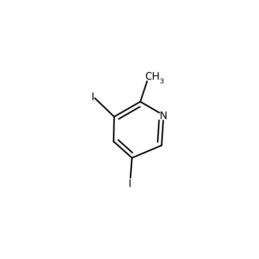 Cc1ncc(I)cc1I